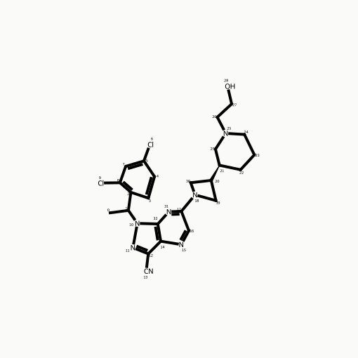 CC(c1ccc(Cl)cc1Cl)n1nc(C#N)c2ncc(N3CC([C@@H]4CCCN(CCO)C4)C3)nc21